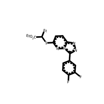 CCOC(=O)C(CC)Sc1ccc2nnc(-c3ccc(F)c(F)c3)n2n1